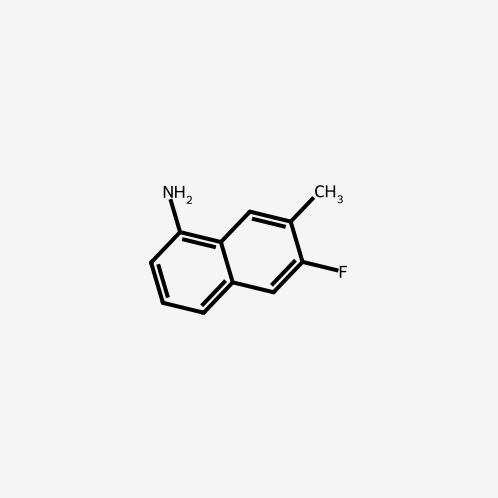 Cc1cc2c(N)cccc2cc1F